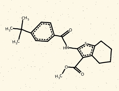 COC(=O)c1c(NC(=O)c2ccc(C(C)(C)C)cc2)sc2c1CCCC2